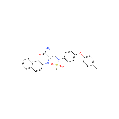 Cc1ccc(Oc2ccc(N(C[C@H](Nc3ccc4ccccc4c3)C(N)=O)S(C)(=O)=O)cc2)cc1